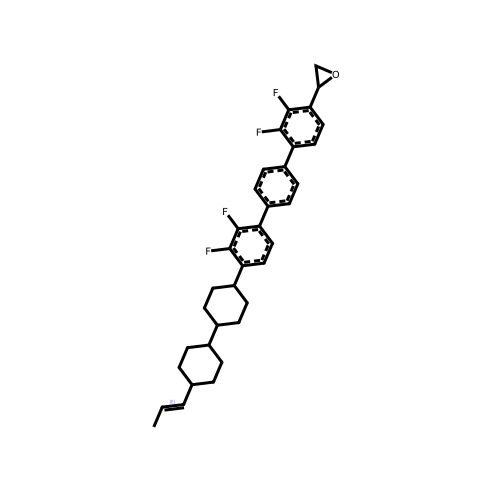 C/C=C/C1CCC(C2CCC(c3ccc(-c4ccc(-c5ccc(C6CO6)c(F)c5F)cc4)c(F)c3F)CC2)CC1